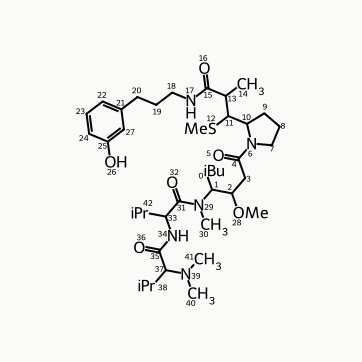 CCC(C)C(C(CC(=O)N1CCCC1C(SC)C(C)C(=O)NCCCc1cccc(O)c1)OC)N(C)C(=O)C(NC(=O)C(C(C)C)N(C)C)C(C)C